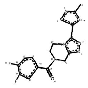 Cc1nsc(-c2nnc3n2CCN(C(=O)c2ccc(F)c(F)c2)C3)n1